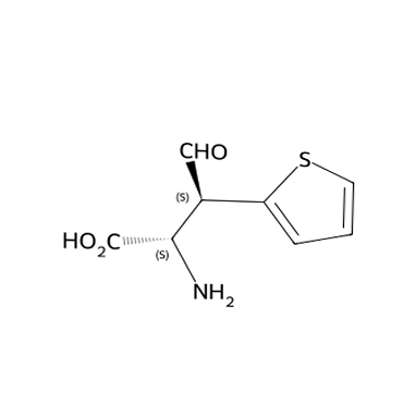 N[C@H](C(=O)O)[C@@H](C=O)c1cccs1